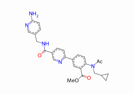 COC(=O)c1cc(-c2ccc(C(=O)NCc3ccc(N)nc3)cn2)ccc1N(CC1CC1)C(C)=O